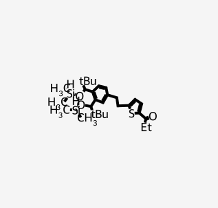 CCC(=O)c1ccc(CCc2ccc(C(O[SiH](C)C)C(C)(C)C)c(C(O[SiH](C)C)C(C)(C)C)c2)s1